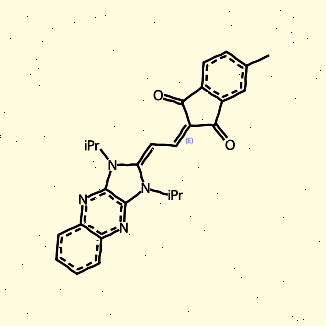 Cc1ccc2c(c1)C(=O)/C(=C/C=C1N(C(C)C)c3nc4ccccc4nc3N1C(C)C)C2=O